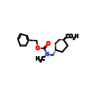 CN(C[C@H]1CC[C@H](C(=O)O)CC1)C(=O)OCc1ccccc1